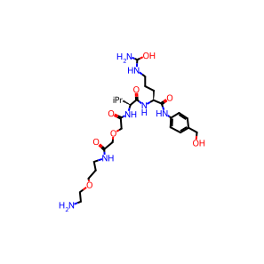 CC(C)[C@H](NC(=O)COCC(=O)NCCCOCCN)C(=O)N[C@@H](CCCNC(N)O)C(=O)Nc1ccc(CO)cc1